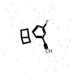 C#Cc1cccc(F)c1.C1CC2CCC12